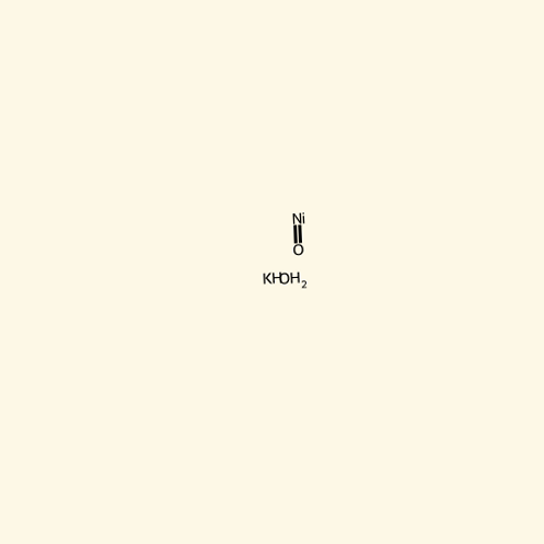 O.[KH].[O]=[Ni]